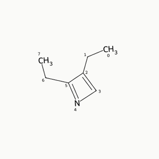 CCC1=CN=C1CC